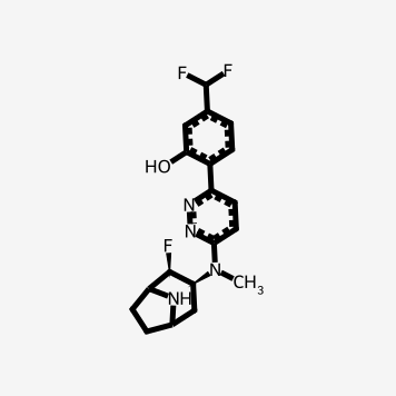 CN(c1ccc(-c2ccc(C(F)F)cc2O)nn1)[C@H]1CC2CCC(N2)[C@H]1F